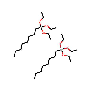 CCCCCCCC[Si](OCC)(OCC)OCC.CCCCCCCC[Si](OCC)(OCC)OCC